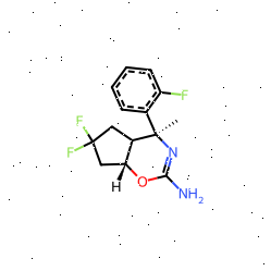 C[C@]1(c2ccccc2F)N=C(N)O[C@@H]2CC(F)(F)CC21